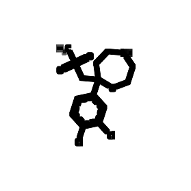 CS(=O)(=O)CC1(c2ccc(Cl)c(Cl)c2)CCNCCO1